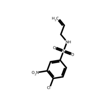 C=CCNS(=O)(=O)c1ccc(Cl)c([N+](=O)[O-])c1